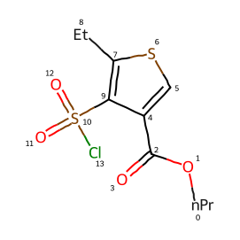 CCCOC(=O)c1csc(CC)c1S(=O)(=O)Cl